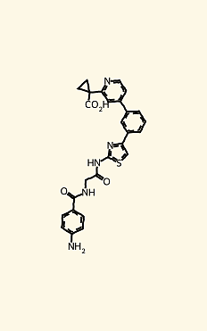 Nc1ccc(C(=O)NCC(=O)Nc2nc(-c3cccc(-c4ccnc(C5(C(=O)O)CC5)c4)c3)cs2)cc1